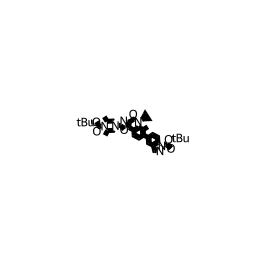 Cc1c(-c2ccc3c(cnn3C(=O)OC(C)(C)C)c2)ccc2c3oc(N4CC(C)N(C(=O)OC(C)(C)C)C(C)C4)nc3c(=O)n(C3CC3)c12